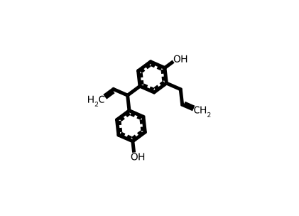 C=CCc1cc(C(C=C)c2ccc(O)cc2)ccc1O